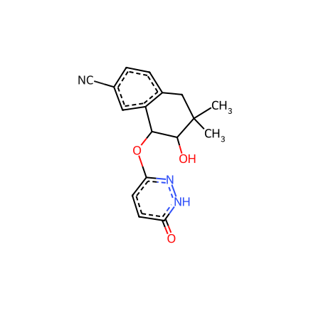 CC1(C)Cc2ccc(C#N)cc2C(Oc2ccc(=O)[nH]n2)C1O